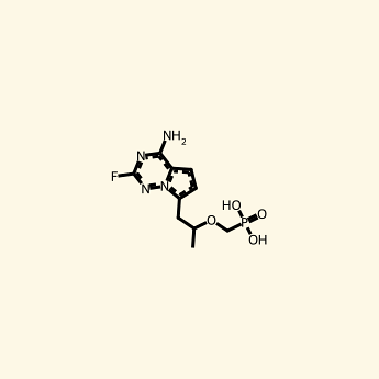 CC(Cc1ccc2c(N)nc(F)nn12)OCP(=O)(O)O